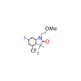 COCCN1C(=O)C(C)(C)c2c1cc(I)cc2C(F)(F)F